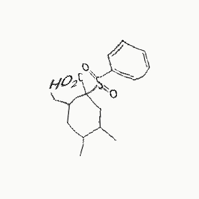 CC1CC(C)C(C(=O)O)(S(=O)(=O)c2ccccc2)CC1C